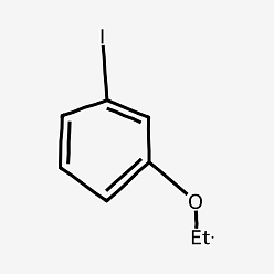 C[CH]Oc1cccc(I)c1